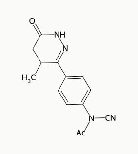 CC(=O)N(C#N)c1ccc(C2=NNC(=O)CC2C)cc1